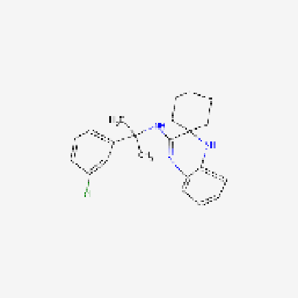 CC(C)(NC1=Nc2ccccc2NC12CCCCC2)c1cccc(Cl)c1